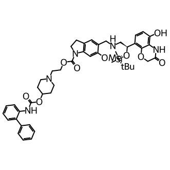 COc1cc2c(cc1CNC[C@H](O[Si](C)(C)C(C)(C)C)c1ccc(O)c3c1OCC(=O)N3)CCN2C(=O)OCCN1CCC(OC(=O)Nc2ccccc2-c2ccccc2)CC1